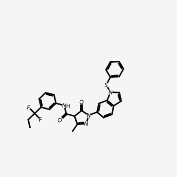 CCC(F)(F)c1cccc(NC(=O)C2C(=O)N(c3ccc4ccn(Sc5ccccc5)c4c3)N=C2C)c1